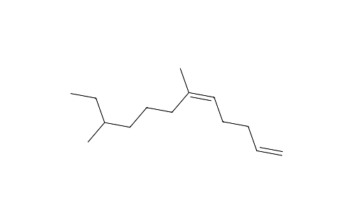 C=CCCC=C(C)CCCC(C)CC